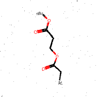 CCCCOC(=O)CCOC(=O)CC(C)=O